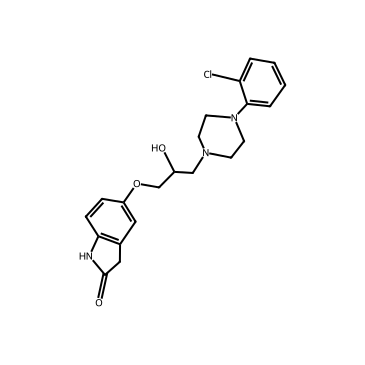 O=C1Cc2cc(OCC(O)CN3CCN(c4ccccc4Cl)CC3)ccc2N1